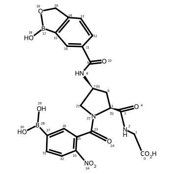 O=C(O)CNC(=O)[C@@H]1C[C@H](NC(=O)c2ccc3c(c2)B(O)OC3)CN1C(=O)c1cc(B(O)O)ccc1[N+](=O)[O-]